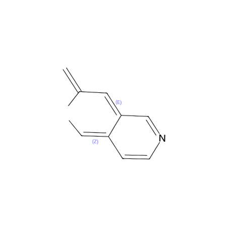 C=C(C)/C=c1/cncc/c1=C/C